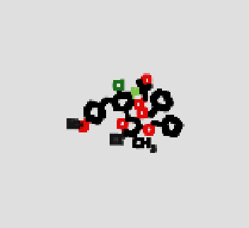 CCOc1ccc(Cc2cc([C@@H]3O[C@H](CC)[C@@H](C)[C@H](OCc4ccccc4)[C@H]3OCc3ccccc3)c(OCC3(F)COC3)cc2Cl)cc1